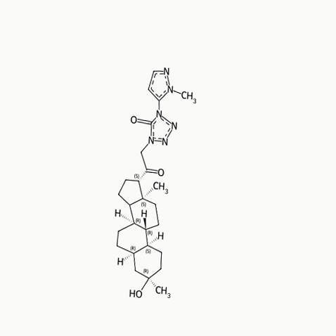 Cn1nccc1-n1nnn(CC(=O)[C@H]2CCC3[C@@H]4CC[C@@H]5C[C@](C)(O)CC[C@@H]5[C@H]4CC[C@@]32C)c1=O